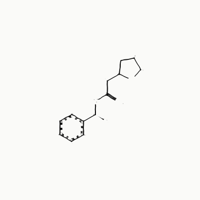 CC(=O)[C@H](NC(=O)CC1CCCO1)c1ccccc1